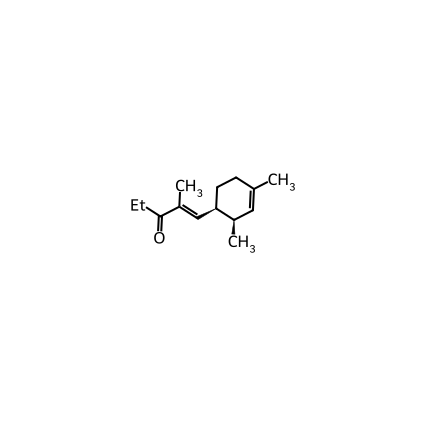 CCC(=O)/C(C)=C/[C@H]1CCC(C)=C[C@H]1C